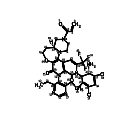 C=CC(=O)N1CCN2c3c(c(=O)n(-c4c(CC)ncnc4CC)c4c(=O)n(C5C(F)=C(Cl)C=C(Cl)[C@H]5N)c(C(F)(F)F)cc34)OCC[C@H]2C1